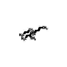 C=CC(=C)C.C=CC=C.C=CC=CC